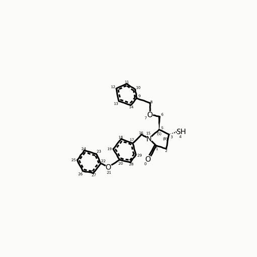 O=C1C[C@@H](S)[C@H](COCc2ccccc2)N1Cc1ccc(Oc2ccccc2)cc1